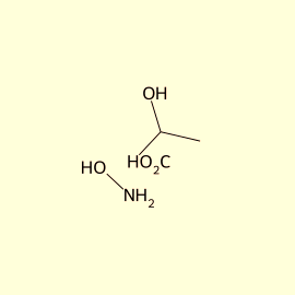 CC(O)C(=O)O.NO